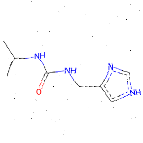 CC(C)NC(=O)NCc1c[nH]cn1